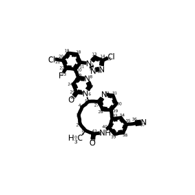 C[C@@H]1CCC[C@H](n2cnc(-c3c(-n4cc(Cl)nn4)ccc(Cl)c3F)cc2=O)c2cc(ccn2)-c2cc(C#N)ccc2NC1=O